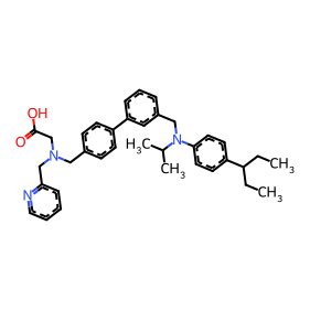 CCC(CC)c1ccc(N(Cc2cccc(-c3ccc(CN(CC(=O)O)Cc4ccccn4)cc3)c2)C(C)C)cc1